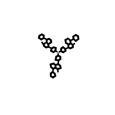 Cc1ccc(-c2ccc(N(c3ccc(-c4ccc(C)c5c(-c6ccccc6)cccc45)cc3)c3ccc(-c4ccc(C)c5c(-c6ccccc6)cccc45)cc3)cc2)c2cccc(-c3ccccc3)c12